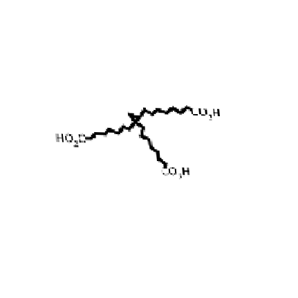 O=C(O)CCCCCCCC1CC1(CCCCCCCC(=O)O)CCCCCCCC(=O)O